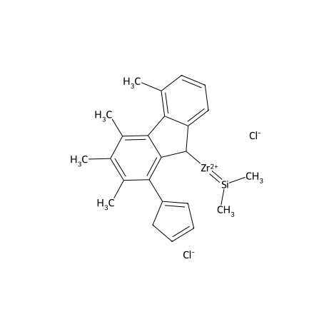 Cc1cccc2c1-c1c(C)c(C)c(C)c(C3=CC=CC3)c1[CH]2[Zr+2]=[Si](C)C.[Cl-].[Cl-]